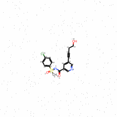 CS(=O)(=NC(=O)c1cncc(C#CCCO)c1)c1ccc(Cl)cc1